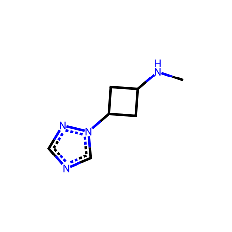 CNC1CC(n2cncn2)C1